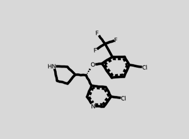 FC(F)(F)c1cc(Cl)ccc1O[C@H](c1cncc(Cl)c1)C1CCNC1